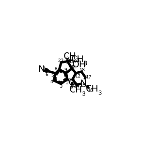 COc1ccc(C#N)c2c1C(O)(C1CCN(C)CC1)C(C)(C)C2